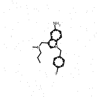 CCCN(C)Cc1cn(Cc2ccc(F)cc2)c2ccc(N)cc12